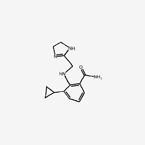 NC(=O)c1cccc(C2CC2)c1NCC1=NCCN1